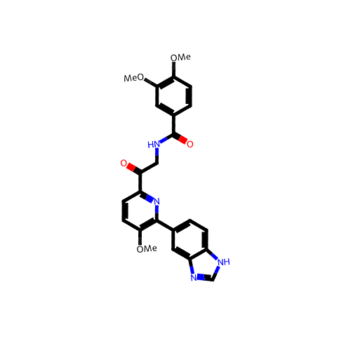 COc1ccc(C(=O)NCC(=O)c2ccc(OC)c(-c3ccc4[nH]cnc4c3)n2)cc1OC